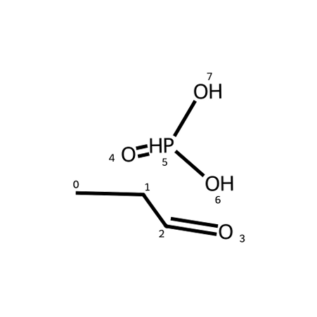 CCC=O.O=[PH](O)O